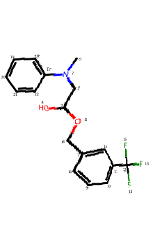 CN(CC(O)OCc1cccc(C(F)(F)F)c1)c1ccccc1